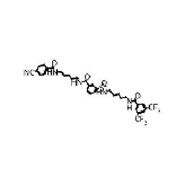 N#Cc1ccc(C(=O)NCCCCCNC(=O)c2cccc([S+]([O-])NCCCCCNC(=O)c3cc(C(F)(F)F)cc(C(F)(F)F)c3)c2)cc1